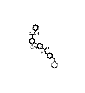 COc1ccc(C(=O)Nc2ccccc2)cc1-c1ccc(C(=O)Nc2ccc(CN3CCCCC3)cc2)cc1